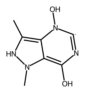 CC1=C2C(=C(O)N=[C]N2O)N(C)N1